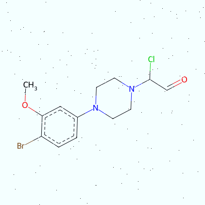 COc1cc(N2CCN(C(Cl)C=O)CC2)ccc1Br